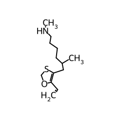 C=CC1=C(CC(C)CCCCNC)SCO1